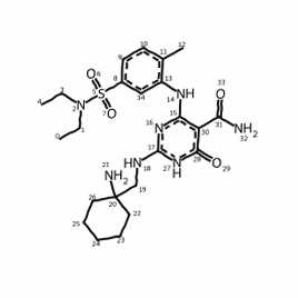 CCN(CC)S(=O)(=O)c1ccc(C)c(Nc2nc(NCC3(N)CCCCC3)[nH]c(=O)c2C(N)=O)c1